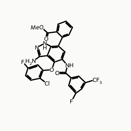 COC(=O)c1ccccc1-c1cc(NC(=O)c2cc(F)cc(C(F)(F)F)c2)c(Oc2cc(F)ccc2Cl)c2c(N)n[nH]c12